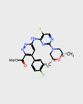 COC(=O)c1nnc(Nc2nc(N3C[C@@H](C)O[C@@H](C)C3)ncc2F)cc1-c1ccc(F)cc1